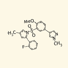 [CH2]c1cc(-c2ccccc2F)n(S(=O)(=O)c2cc(-c3cnn(C)c3)ccc2OC)c1